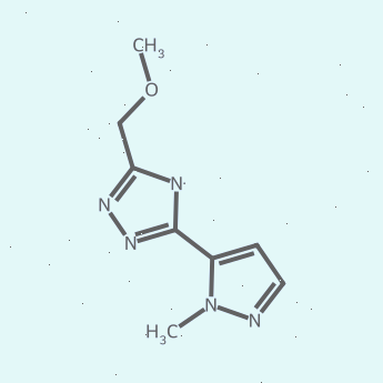 COCC1=NN=C(c2ccnn2C)[N]1